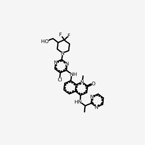 CC(Nc1cc(=O)n(C)c2c(Nc3nc(N4CCC(F)(F)C(CO)C4)ncc3Cl)cccc12)c1ncccn1